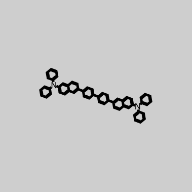 c1ccc(N(c2ccccc2)c2ccc3cc(-c4ccc(-c5ccc(-c6ccc7cc(N(c8ccccc8)c8ccccc8)ccc7c6)cc5)cc4)ccc3c2)cc1